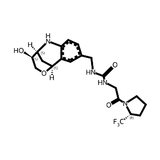 O=C(NCC(=O)N1CCC[C@@H]1C(F)(F)F)NCc1ccc2c(c1)[C@@H]1C[C@H](N2)[C@H](O)CO1